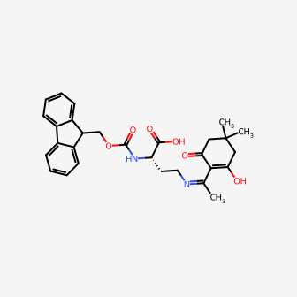 CC(=NCC[C@H](NC(=O)OCC1c2ccccc2-c2ccccc21)C(=O)O)C1=C(O)CC(C)(C)CC1=O